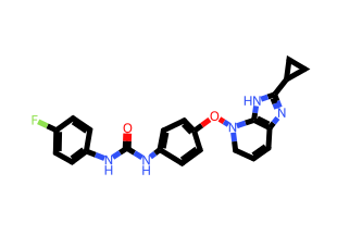 O=C(Nc1ccc(F)cc1)Nc1ccc(ON2CC=Cc3nc(C4CC4)[nH]c32)cc1